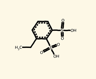 CCc1cccc(S(=O)(=O)O)c1S(=O)(=O)O